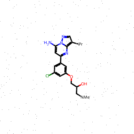 CNCC(O)COc1cc(Cl)cc(-c2cc(N)n3ncc(C(C)C)c3n2)c1